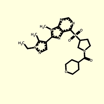 CCn1ncc(-c2nc3c(S(=O)(=O)C4CCN(C(=O)C5CCOCC5)C4)ncnc3n2C)c1C